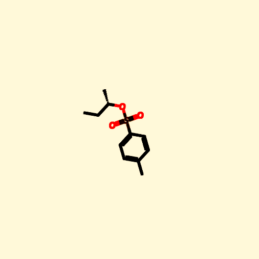 CC[C@H](C)OS(=O)(=O)c1ccc(C)cc1